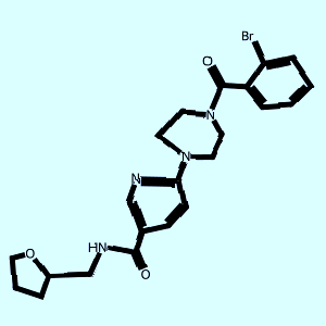 O=C(NCC1CCCO1)c1ccc(N2CCN(C(=O)c3ccccc3Br)CC2)nc1